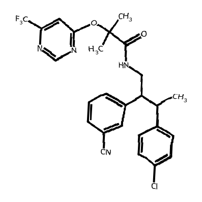 CC(c1ccc(Cl)cc1)C(CNC(=O)C(C)(C)Oc1cc(C(F)(F)F)ncn1)c1cccc(C#N)c1